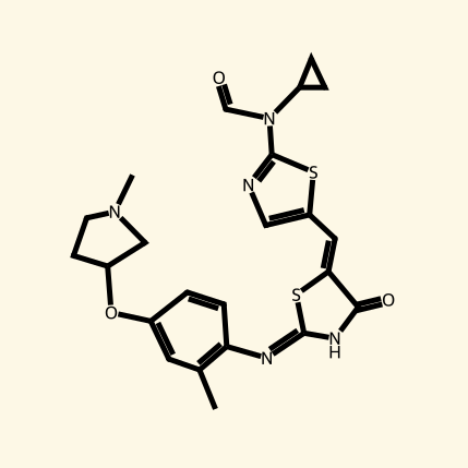 Cc1cc(OC2CCN(C)C2)ccc1/N=C1/NC(=O)/C(=C/c2cnc(N(C=O)C3CC3)s2)S1